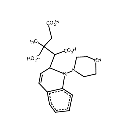 O=C(O)CC(O)(C(=O)O)C(C(=O)O)C1C=Cc2ccccc2N1N1CCNCC1